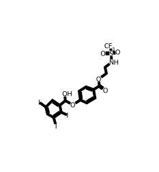 O=C(OCCNS(=O)(=O)C(F)(F)F)c1ccc(OC(O)c2cc(I)cc(I)c2I)cc1